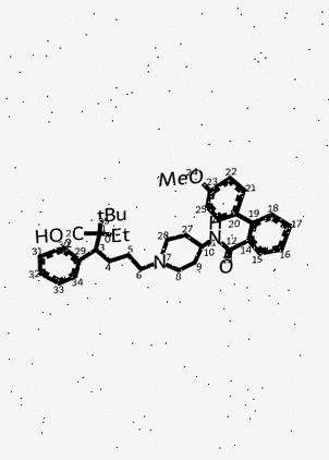 CCC(C(=O)O)(C(CCCN1CCC(NC(=O)c2ccccc2-c2ccc(OC)cc2)CC1)c1ccccc1)C(C)(C)C